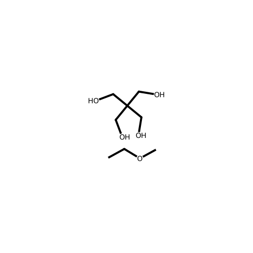 CCOC.OCC(CO)(CO)CO